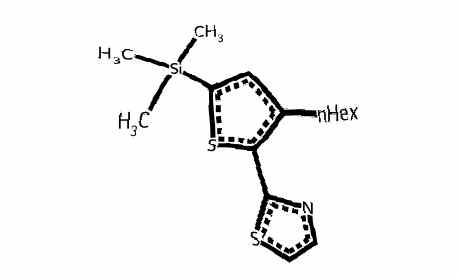 CCCCCCc1cc([Si](C)(C)C)sc1-c1nccs1